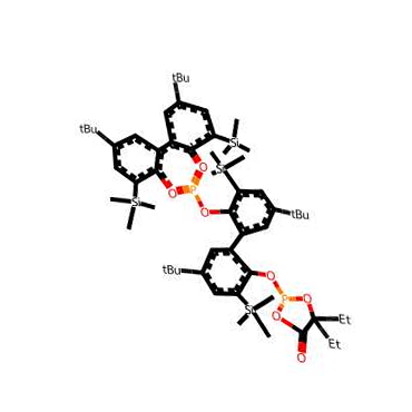 CCC1(CC)OP(Oc2c(-c3cc(C(C)(C)C)cc([Si](C)(C)C)c3Op3oc4c([Si](C)(C)C)cc(C(C)(C)C)cc4c4cc(C(C)(C)C)cc([Si](C)(C)C)c4o3)cc(C(C)(C)C)cc2[Si](C)(C)C)OC1=O